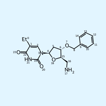 CCc1cn([C@H]2C[C@H](OCc3ccccc3)[C@@H](CN)O2)c(=O)[nH]c1=O